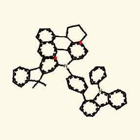 CC1(C)c2ccccc2-c2ccc(N(c3ccc(-c4cccc5c6ccccc6n(-c6ccccc6)c45)cc3)c3ccccc3-c3cccc4cccc(C5CCCCC5)c34)cc21